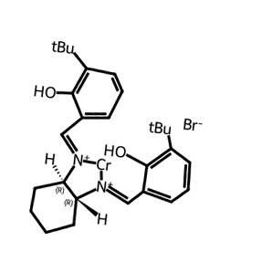 CC(C)(C)c1cccc(C=[N+]2[Cr][N+](=Cc3cccc(C(C)(C)C)c3O)[C@@H]3CCCC[C@H]32)c1O.[Br-]